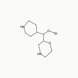 CCOC(C1CCNCC1)C1CNCCO1